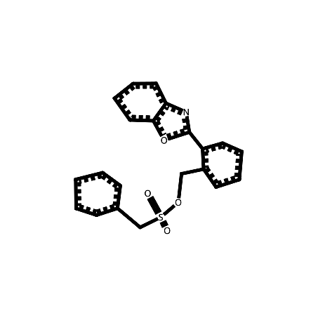 O=S(=O)(Cc1ccccc1)OCc1ccccc1-c1nc2ccccc2o1